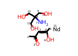 CC(=O)/C=C(/C)O.NC(CO)(CO)CO.[Nd]